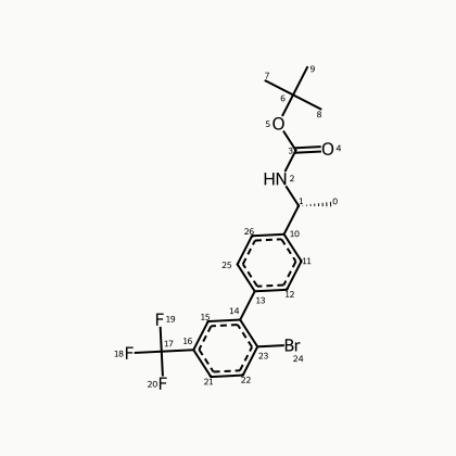 C[C@@H](NC(=O)OC(C)(C)C)c1ccc(-c2cc(C(F)(F)F)ccc2Br)cc1